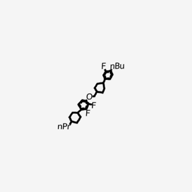 CCCCc1ccc(C2CCC(COc3ccc(C4CCC(CCC)CC4)c(F)c3F)CC2)cc1F